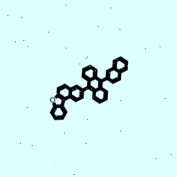 c1ccc2cc(-c3c4ccccc4c(-c4ccc5c(ccc6oc7ccccc7c65)c4)c4ccccc34)ccc2c1